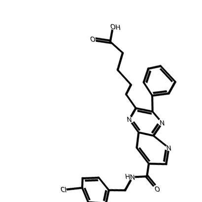 O=C(O)CCCCc1nc2cc(C(=O)NCc3ccc(Cl)cc3)cnc2nc1-c1ccccc1